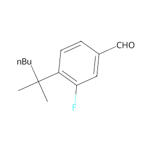 CCCCC(C)(C)c1ccc(C=O)cc1F